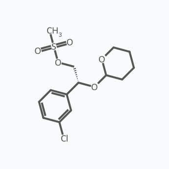 CS(=O)(=O)OC[C@H](OC1CCCCO1)c1cccc(Cl)c1